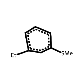 CCc1c[c]cc(SC)c1